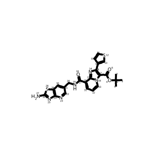 CC(C)(C)OC(=O)c1c(-c2ccsc2)nc2c(C(=O)NCc3cnc4nc(N)sc4c3)cccn12